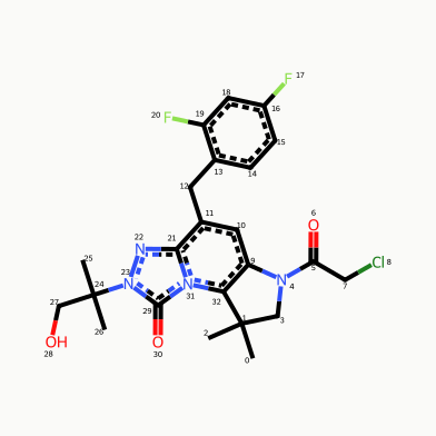 CC1(C)CN(C(=O)CCl)c2cc(Cc3ccc(F)cc3F)c3nn(C(C)(C)CO)c(=O)n3c21